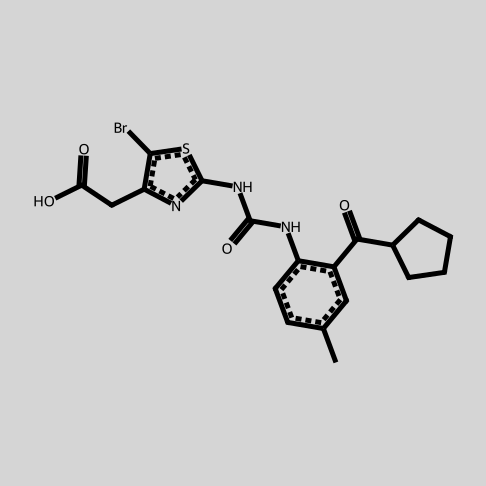 Cc1ccc(NC(=O)Nc2nc(CC(=O)O)c(Br)s2)c(C(=O)C2CCCC2)c1